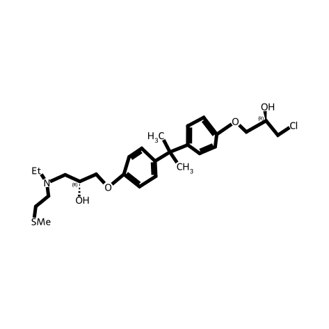 CCN(CCSC)C[C@@H](O)COc1ccc(C(C)(C)c2ccc(OC[C@@H](O)CCl)cc2)cc1